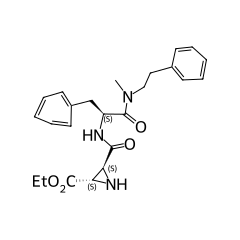 CCOC(=O)[C@H]1N[C@@H]1C(=O)N[C@@H](Cc1ccccc1)C(=O)N(C)CCc1ccccc1